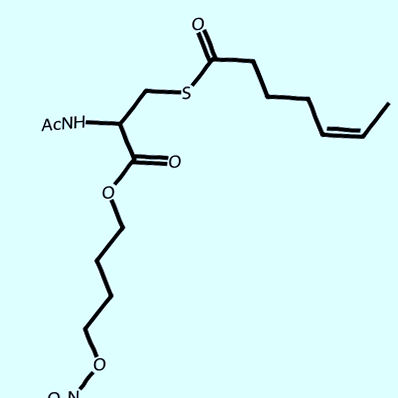 C/C=C\CCCC(=O)SCC(NC(C)=O)C(=O)OCCCCO[N+](=O)[O-]